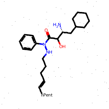 CCCCCC=CCCCNN(C(=O)C(O)[C@H](N)CC1CCCCC1)c1ccccc1